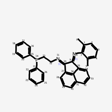 Cc1cccc(C)c1/N=C1/C(=N/CCP(c2ccccc2)c2ccccc2)c2cccc3cccc1c23